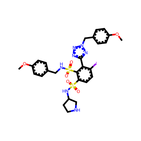 COc1ccc(CNS(=O)(=O)c2c(S(=O)(=O)NC3CCNC3)ccc(I)c2-c2nnn(Cc3ccc(OC)cc3)n2)cc1